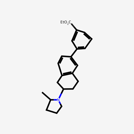 CCOC(=O)c1cccc(-c2ccc3c(c2)CCC(N2CCCC2C)C3)c1